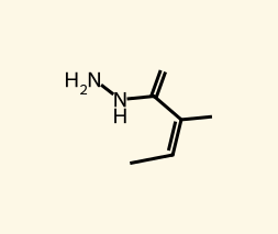 C=C(NN)/C(C)=C\C